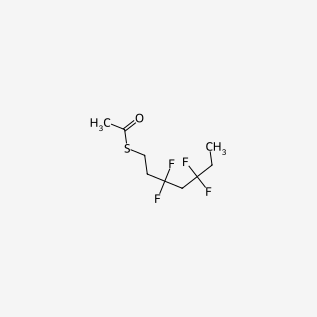 CCC(F)(F)CC(F)(F)CCSC(C)=O